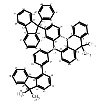 CC1(C)c2ccccc2Sc2c(N(c3cccc(-c4cccc5c4-c4ccccc4C5(C)C)c3)c3cccc(C4(c5ccccc5)c5ccccc5-c5ccccc54)c3)cccc21